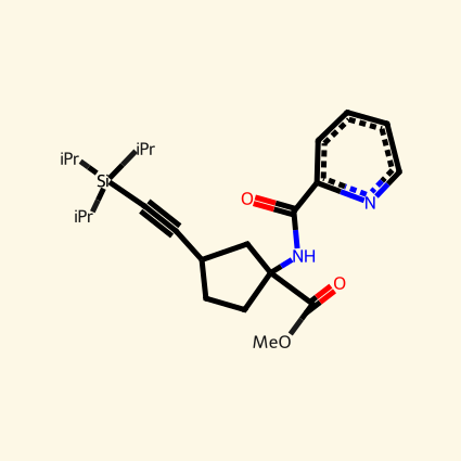 COC(=O)C1(NC(=O)c2ccccn2)CCC(C#C[Si](C(C)C)(C(C)C)C(C)C)C1